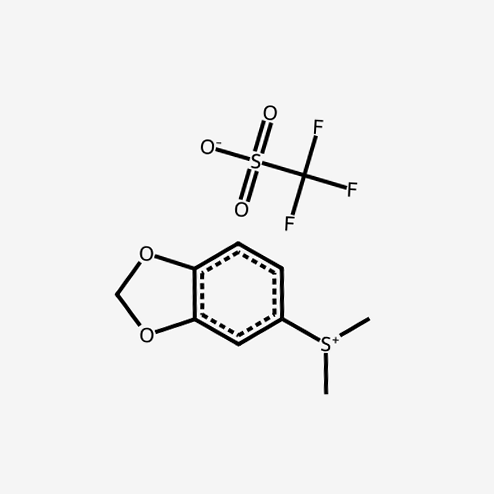 C[S+](C)c1ccc2c(c1)OCO2.O=S(=O)([O-])C(F)(F)F